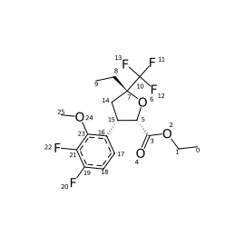 CCOC(=O)[C@H]1O[C@@](CC)(C(F)(F)F)C[C@H]1c1ccc(F)c(F)c1OC